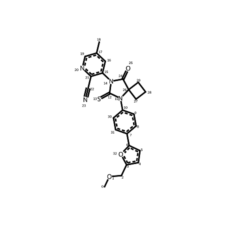 COCc1ccc(-c2ccc(N3C(=S)N(c4cc(C)cnc4C#N)C(=O)C34CCC4)cc2)o1